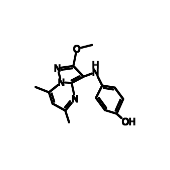 COc1nn2c(C)cc(C)nc2c1Nc1ccc(O)cc1